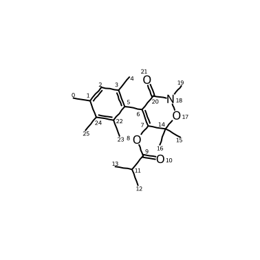 Cc1cc(C)c(C2=C(OC(=O)C(C)C)C(C)(C)ON(C)C2=O)c(C)c1C